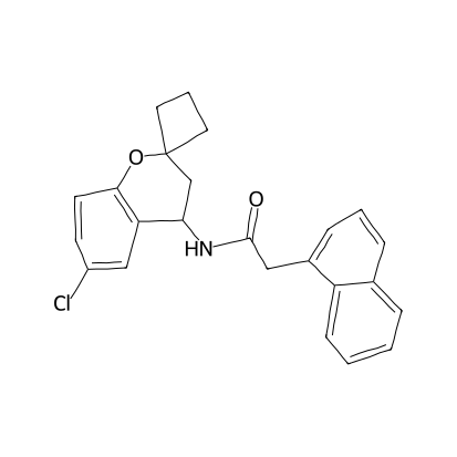 O=C(Cc1cccc2ccccc12)NC1CC2(CCC2)Oc2ccc(Cl)cc21